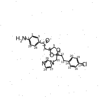 Nc1ccc([S+]([O-])C[C@H]2CO[C@](CCc3ccc(Cl)cc3)(Cn3ccnc3)O2)cc1